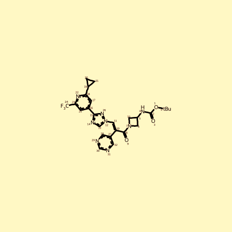 CC(C)(C)OC(=O)NC1CN(C(=O)/C(=C/n2cnc(-c3cc(C4CC4)nc(C(F)(F)F)c3)n2)c2cncnc2)C1